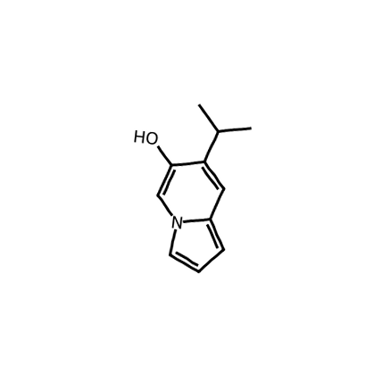 CC(C)c1cc2cccn2cc1O